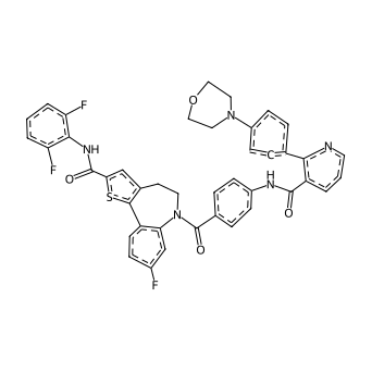 O=C(Nc1c(F)cccc1F)c1cc2c(s1)-c1ccc(F)cc1N(C(=O)c1ccc(NC(=O)c3cccnc3-c3ccc(N4CCOCC4)cc3)cc1)CC2